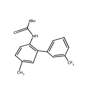 Cc1ccc(NC(=O)C(C)(C)C)c(-c2cccc(C(F)(F)F)c2)c1